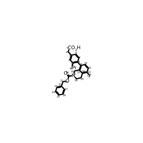 CC(C)c1cc(CC(=O)O)ccc1-c1ccc(F)c2c1CN(C(=O)OCc1ccccc1)CC2